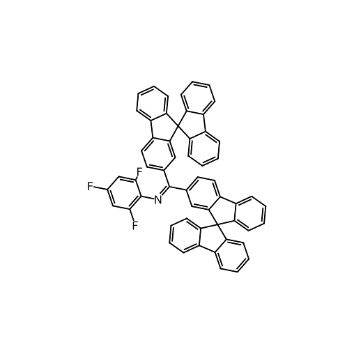 Fc1cc(F)c(N=C(c2ccc3c(c2)C2(c4ccccc4-c4ccccc42)c2ccccc2-3)c2ccc3c(c2)C2(c4ccccc4-c4ccccc42)c2ccccc2-3)c(F)c1